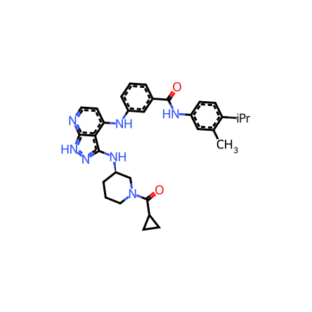 Cc1cc(NC(=O)c2cccc(Nc3ccnc4[nH]nc(N[C@@H]5CCCN(C(=O)C6CC6)C5)c34)c2)ccc1C(C)C